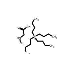 CCCC[PH](CCCC)(CCCC)CCCC.CNCC(=O)O